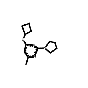 Cc1cc(OC2CCC2)nc(N2CCCC2)n1